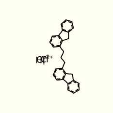 [Cl-].[Cl-].[Hf+2].c1ccc2c(c1)Cc1c(CCCc3cccc4c3Cc3ccccc3-4)cccc1-2